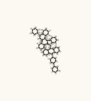 c1ccc(-c2ccc(-c3c4ccccc4c(-n4c5ccccc5c5c6c7ccccc7c(-c7ccccc7)cc6c6ccccc6c54)c4ccccc34)cc2)cc1